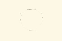 C1CC[N]CCCNCC1